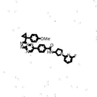 COc1ccc(C2(c3nnc4ncc(-c5ccc(C(=O)NC6CCN(c7cccc(F)n7)C6)cc5)nn34)CC2)cc1